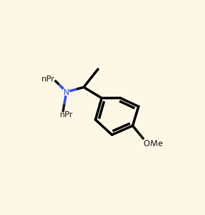 CCCN(CCC)C(C)c1ccc(OC)cc1